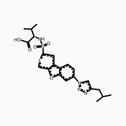 CC(C)Cc1cn(-c2ccc3c(c2)oc2ccc(S(=O)(=O)N[C@@H](C(=O)O)C(C)C)cc23)nn1